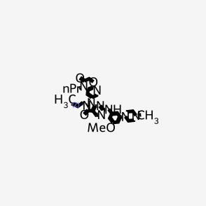 C/C=C\Cn1c(=O)c2cnc(Nc3cc(OC)cc(N4CCN(C)CC4)c3)nc2n1-c1cnc2c(c1)N(CCC)C(=O)CO2